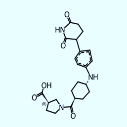 O=C1CCC(c2ccc(N[C@H]3CC[C@H](C(=O)N4CC[C@@H](C(=O)O)C4)CC3)cc2)C(=O)N1